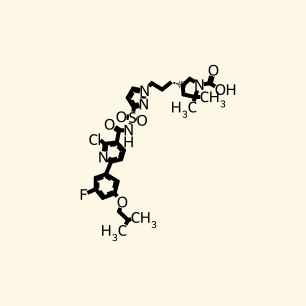 CC(C)COc1cc(F)cc(-c2ccc(C(=O)NS(=O)(=O)c3ccn(CCC[C@@H]4CN(C(=O)O)C(C)(C)C4)n3)c(Cl)n2)c1